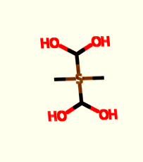 CS(C)(C(O)O)C(O)O